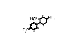 Cl.NC1CCC(c2ccc(C(F)(F)F)cc2)CC1